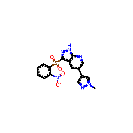 Cn1cc(-c2cnc3[nH]nc(S(=O)(=O)c4ccccc4[N+](=O)[O-])c3c2)cn1